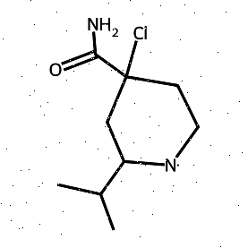 CC(C)C1CC(Cl)(C(N)=O)CC[N]1